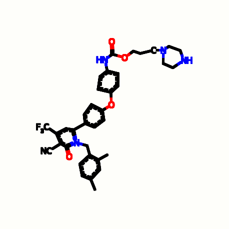 Cc1ccc(Cn2c(-c3ccc(Oc4ccc(NC(=O)OCCCN5CCNCC5)cc4)cc3)cc(C(F)(F)F)c(C#N)c2=O)c(C)c1